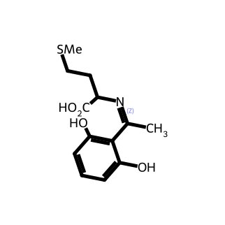 CSCCC(/N=C(/C)c1c(O)cccc1O)C(=O)O